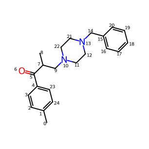 Cc1ccc(C(=O)C(C)CN2CCN(Cc3ccccc3)CC2)cc1